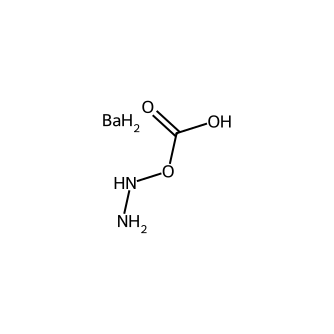 NNOC(=O)O.[BaH2]